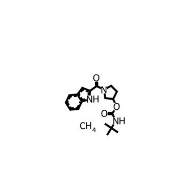 C.CC(C)(C)NC(=O)OC1CCN(C(=O)c2cc3ccccc3[nH]2)C1